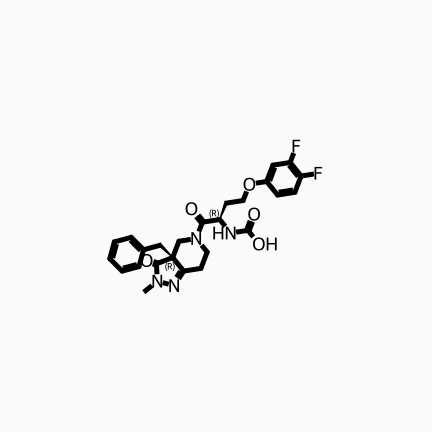 CN1N=C2CCN(C(=O)[C@@H](CCOc3ccc(F)c(F)c3)NC(=O)O)C[C@@]2(Cc2ccccc2)C1=O